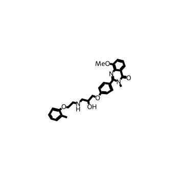 COc1cccc2c(=O)n(C)c(-c3ccc(OCC(O)CNCCOc4ccccc4C)cc3)nc12